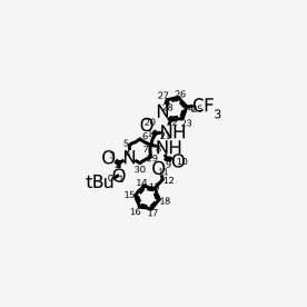 CC(C)(C)OC(=O)N1CCC(NC(=O)OCc2ccccc2)(C(=O)Nc2cc(C(F)(F)F)ccn2)CC1